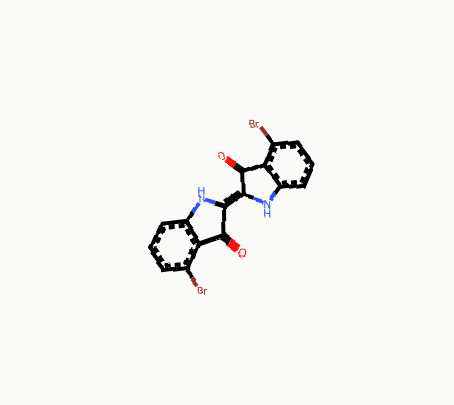 O=C1/C(=C2\Nc3cccc(Br)c3C2=O)Nc2cccc(Br)c21